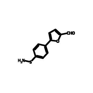 NSc1ccc(-c2ccc(C=O)o2)cc1